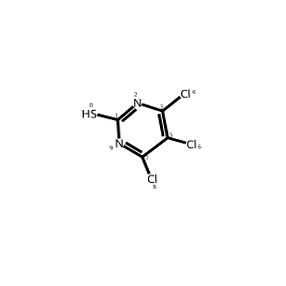 Sc1nc(Cl)c(Cl)c(Cl)n1